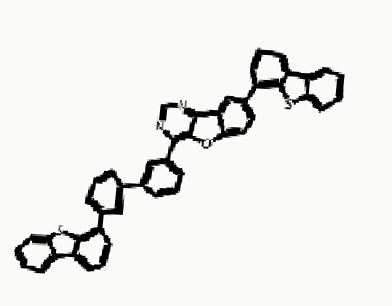 c1cc(-c2cccc(-c3cccc4c3sc3ccccc34)c2)cc(-c2ncnc3c2oc2ccc(-c4cccc5c4sc4ccccc45)cc23)c1